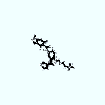 Cn1ncc2c(F)c(C(=O)Nc3cc4c(-c5ccoc5)nn(COCCS(C)(C)C)c4cc3F)c(F)cc21